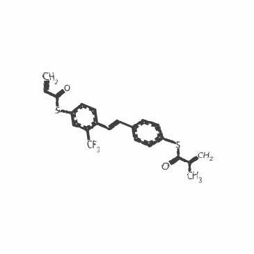 C=CC(=O)Sc1ccc(/C=C/c2ccc(SC(=O)C(=C)C)cc2)c(C(F)(F)F)c1